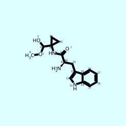 COC(O)C1(NC(=O)[C@H](N)Cc2c[nH]c3ccccc23)CC1